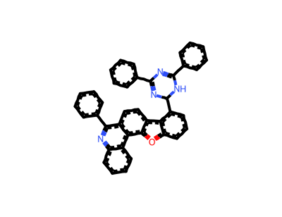 c1ccc(C2=NC(c3cccc4oc5c(ccc6c(-c7ccccc7)nc7ccccc7c65)c34)NC(c3ccccc3)=N2)cc1